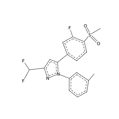 Cc1cccc(-n2nc(C(F)F)cc2-c2ccc(S(C)(=O)=O)c(F)c2)c1